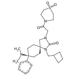 CN(C)[C@]1(c2ccccc2)CC[C@@]2(CC1)CN(CC(=O)N1CCS(=O)(=O)CC1)C(=O)N2CC1CCC1